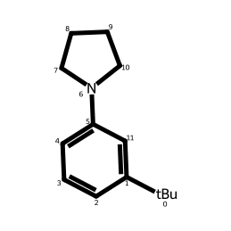 CC(C)(C)c1cccc(N2CCCC2)c1